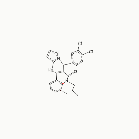 CCCN(CCC)C(=O)C1=C(c2ccccc2)Nc2ccnn2C1c1ccc(Cl)c(Cl)c1